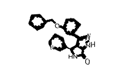 O=C1N[C@@H](c2cccnc2)c2c(-c3cccc(OCc4ccccc4)c3)n[nH]c21